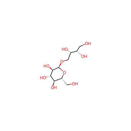 OC[C@H](O)[C@@H](O)CO[C@H]1O[C@H](CO)[C@@H](O)[C@H](O)[C@H]1O